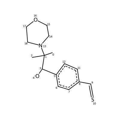 CC(C)(C([O])c1ccc(C=S)cc1)N1CCOCC1